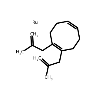 C=C(C)C/C1=C(\CC(=C)C)CC/C=C\CC1.[Ru]